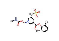 CC(C)NC(=O)OC[n+]1cccc(C(=O)Oc2c(C(C)C)cccc2C(C)C)c1.CS(=O)(=O)[O-]